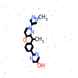 CC(c1cccc(-c2ncc(O)cn2)c1)c1nn(-c2cnn(C)c2)ccc1=O